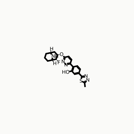 Cc1nnc(-c2ccc(-c3ccc(O[C@H]4C[C@@H]5CCC[C@@H](N5)[C@H]4F)nn3)c(O)c2)s1